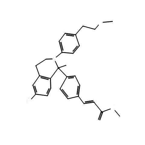 COCCc1ccc(N2CCc3cc(O)ccc3C2(C)c2ccc(/C=C/C(=O)OC)cc2)cc1